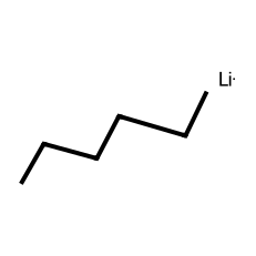 CCCCCC.[Li]